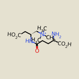 C[N+](C)(C)C[C@@H](CC(=O)O)NC(=O)CC[C@@H](N)C(=O)O